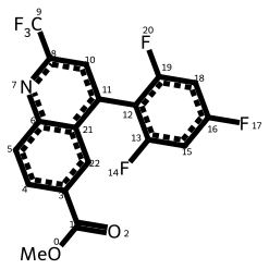 COC(=O)c1ccc2nc(C(F)(F)F)cc(-c3c(F)cc(F)cc3F)c2c1